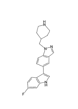 Fc1ccc2c(-c3ccc4c(cnn4CC4CCNCC4)c3)c[nH]c2c1